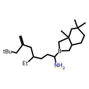 C=C(CC(CC)CCC(N)B1CC2CCC(C)(C)CC2(C)C1)CC(C)(C)C